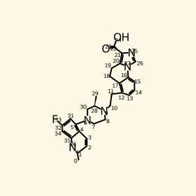 Cc1ccc2c(N3CCN(CCc4cccc5c4CCc4c(C(=O)O)ncn4-5)[C@H](C)C3)cc(F)cc2n1